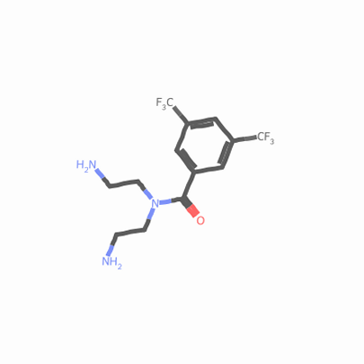 NCCN(CCN)C(=O)c1cc(C(F)(F)F)cc(C(F)(F)F)c1